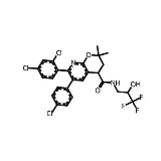 CC1(C)CC(C(=O)NCC(O)C(F)(F)F)c2cc(-c3ccc(Cl)cc3)c(-c3ccc(Cl)cc3Cl)nc2O1